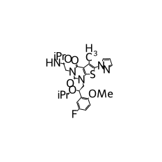 COc1ccc(F)cc1[C@H](Cn1c(=O)n(CC(=O)NC(C)C)c(=O)c2c(C)c(-n3cccn3)sc21)OC(C)C